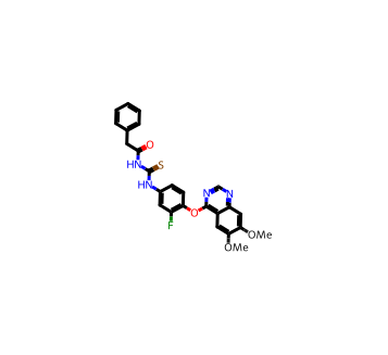 COc1cc2ncnc(Oc3ccc(NC(=S)NC(=O)Cc4ccccc4)cc3F)c2cc1OC